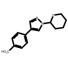 O=C(O)c1ccc(-c2cnn(C3CCCCO3)c2)cc1